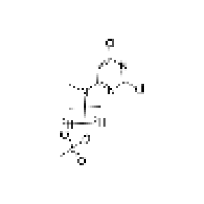 [2H]C([2H])(OS(C)(=O)=O)C(C)(C)N(C)c1cc(Cl)nc(Cl)n1